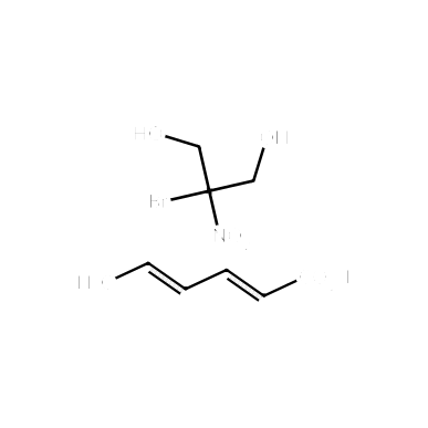 CC=CC=CC(=O)O.O=[N+]([O-])C(Br)(CO)CO